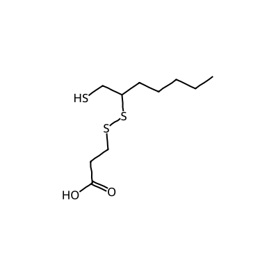 CCCCCC(CS)SSCCC(=O)O